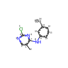 Cc1cnc(Cl)nc1Nc1cccc(C(C)(C)C)c1